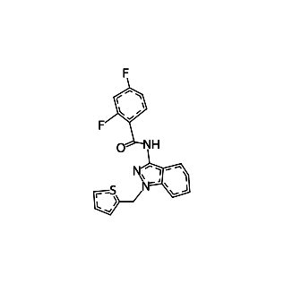 O=C(Nc1nn(Cc2cccs2)c2ccccc12)c1ccc(F)cc1F